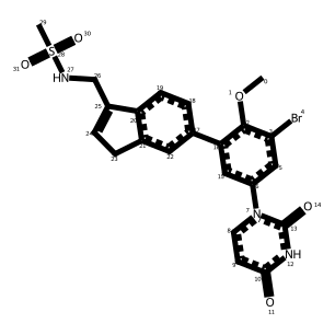 COc1c(Br)cc(-n2ccc(=O)[nH]c2=O)cc1-c1ccc2c(c1)CC=C2CNS(C)(=O)=O